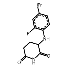 CC(C)c1ccc(NC2CCC(=O)NC2=O)c(F)c1